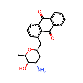 C[C@H]1O[C@@H](Cc2cccc3c2C(=O)c2ccccc2C3=O)C[C@H](N)[C@H]1O